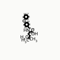 CC(C)(C)CCC(NCc1ccc(Oc2ccccc2)cc1)C(=O)O